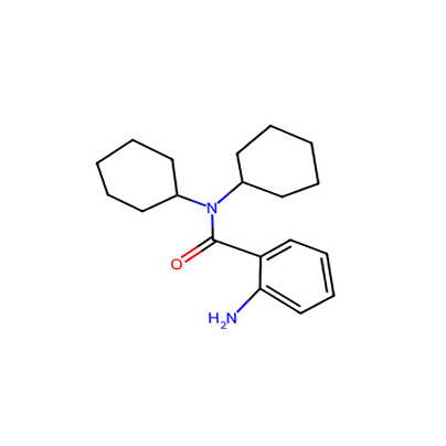 Nc1ccccc1C(=O)N(C1CCCCC1)C1CCCCC1